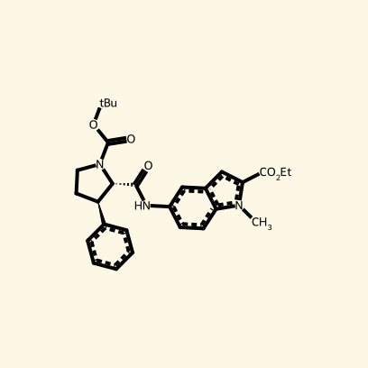 CCOC(=O)c1cc2cc(NC(=O)[C@@H]3[C@@H](c4ccccc4)CCN3C(=O)OC(C)(C)C)ccc2n1C